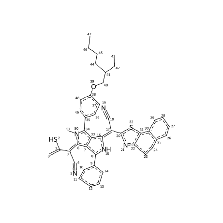 C=C(S)/C(C#N)=c1/c2c(-c3ccccc3)[nH]/c(=C(/C#N)c3nc4ccc5ccccc5c4s3)c2c(-c2ccc(OCC(CC)CCCC)cc2)n1C